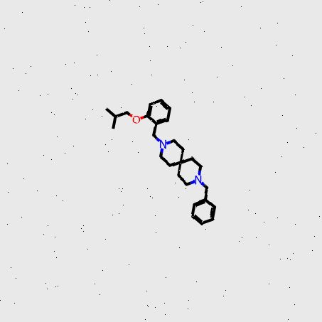 CC(C)COc1ccccc1CN1CCC2(CCN(Cc3ccccc3)CC2)CC1